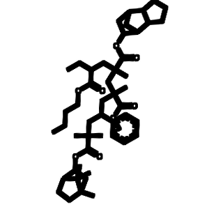 CCCCOC(=O)C(CC)CC(C)(CC(C)(CC(CC(C)(C)C(=O)OC1CC2(C)CCC1C2(C)C)c1ccccc1)C(=O)OC)C(=O)OC1CC2CC1C1CCCC21